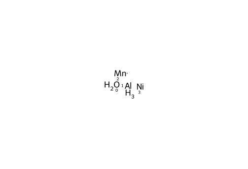 O.[AlH3].[Mn].[Ni]